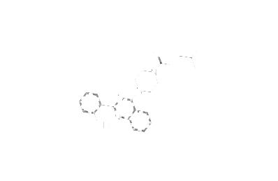 CC(C)COC(=O)N1CCN(c2nc(-c3ccccc3O)nc3ccccc23)CC1